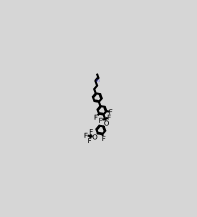 C/C=C/CCc1ccc(-c2cc(F)c(C(F)(F)Oc3ccc(OC(F)(F)F)c(F)c3)c(F)c2)cc1